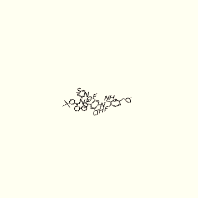 COCc1ccc(F)c([C@H](N)Nc2cc(F)c(S(=O)(=O)N(C(=O)OC(C)(C)C)c3cscn3)cc2Cl)c1